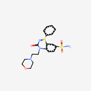 NS(=O)(=O)c1ccc2c(c1)S(c1ccccc1)=NC(=O)N2CCN1CCOCC1